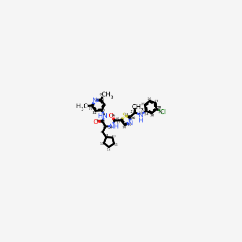 Cc1cc(NC(=O)C(CC2CCCC2)NC(=O)c2cnc(C(C)Nc3cccc(Cl)c3)s2)cc(C)n1